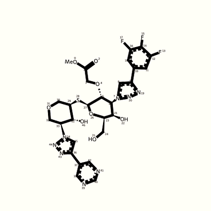 COC(=O)CO[C@@H]1[C@@H](n2cc(-c3cc(F)c(F)c(F)c3)nn2)[C@@H](O)[C@@H](CO)O[C@H]1S[C@@H]1COC[C@H](n2cc(-c3cncnc3)nn2)[C@H]1O